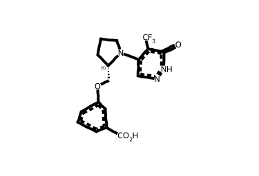 O=C(O)c1cccc(OC[C@@H]2CCCN2c2cn[nH]c(=O)c2C(F)(F)F)c1